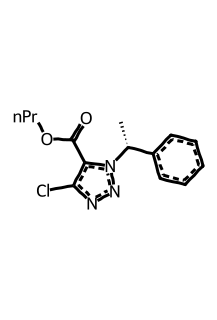 CCCOC(=O)c1c(Cl)nnn1[C@H](C)c1ccccc1